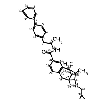 CC(Cc1ccc(-c2ccccc2)cc1)NC(=O)c1ccc2c(c1)[C@@]1(C)CC3(C2)CN(CC2CC2)C3[C@@H]1C